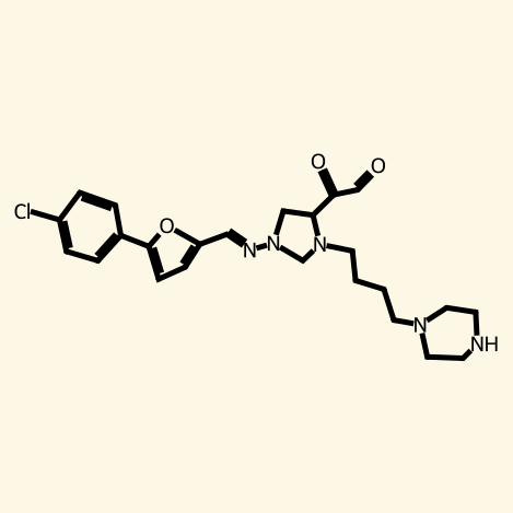 O=CC(=O)C1CN(N=Cc2ccc(-c3ccc(Cl)cc3)o2)CN1CCCCN1CCNCC1